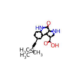 C[Si](C)(C)C#Cc1ccc2[nH]c(=O)c3[nH]cc(C(=O)O)c3c2c1